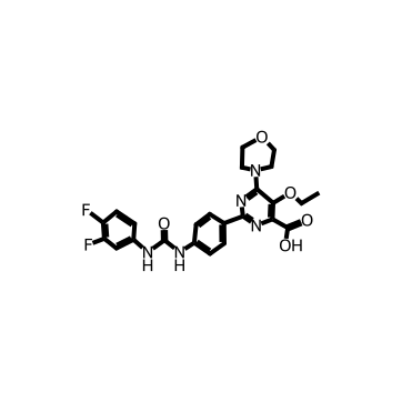 CCOc1c(C(=O)O)nc(-c2ccc(NC(=O)Nc3ccc(F)c(F)c3)cc2)nc1N1CCOCC1